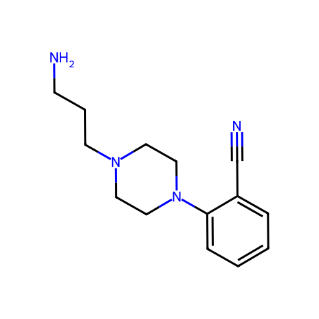 N#Cc1ccccc1N1CCN(CCCN)CC1